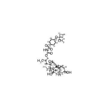 C[C@H](COC(=O)NS(=O)(=O)c1ccc(OC2(C)CCC2)cc1)[C@H]1CC[C@H]2[C@@H]3[C@H](O)C[C@@H]4C[C@H](O)CC[C@]4(C)[C@H]3CC[C@]12C